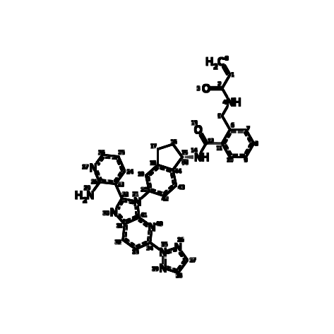 C=CC(=O)NCc1ccccc1C(=O)N[C@H]1CCc2cc(-n3c(-c4cccnc4N)nc4ccc(-n5nccn5)nc43)ccc21